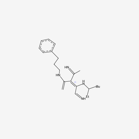 C=C(NCCCc1ccccc1)/C(C(C)=N)=C(\C=N)NC(CC)C(C)CC